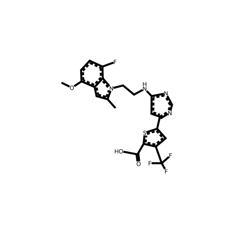 COc1ccc(F)c2c1cc(C)n2CCNc1cc(-c2cc(C(F)(F)F)c(C(=O)O)s2)ncn1